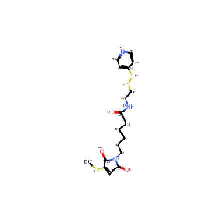 CCSC1=CC(=O)N(CCCCCC(=O)NCCSSc2ccncc2)C1=O